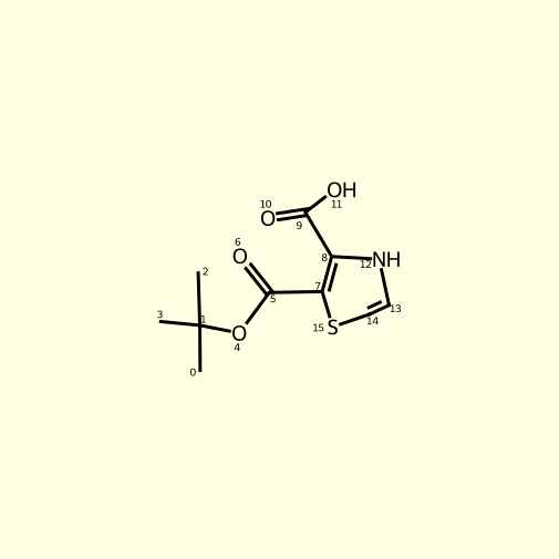 CC(C)(C)OC(=O)C1=C(C(=O)O)NC=CS1